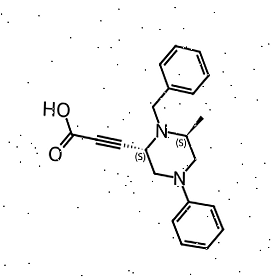 C[C@H]1CN(c2ccccc2)C[C@H](C#CC(=O)O)N1Cc1ccccc1